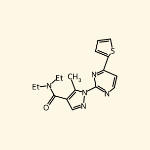 CCN(CC)C(=O)c1cnn(-c2nccc(-c3cccs3)n2)c1C